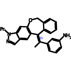 C/C(=C1/c2ccccc2COc2cc3c(cnn3C(C)C)cc21)c1cccc(N)c1